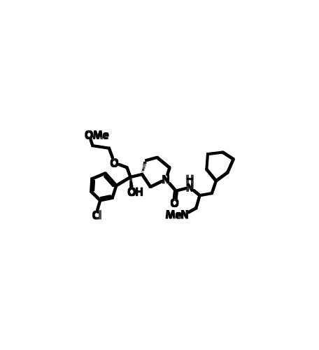 CNCC(CC1CCCCC1)NC(=O)N1CCC[C@@H]([C@@](O)(COCCOC)c2cccc(Cl)c2)C1